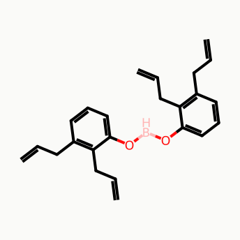 C=CCc1cccc(OBOc2cccc(CC=C)c2CC=C)c1CC=C